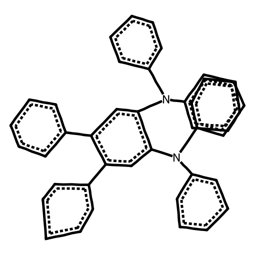 c1ccc(-c2cc(N(c3ccccc3)c3ccccc3)c(N(c3ccccc3)c3ccccc3)cc2-c2ccccc2)cc1